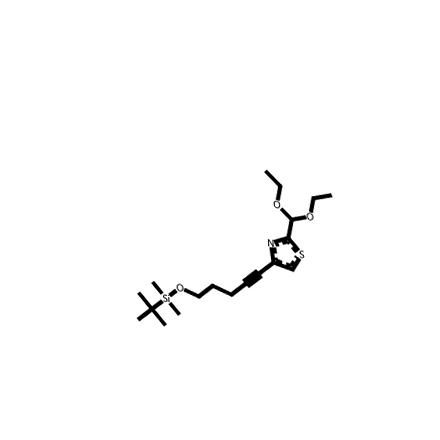 CCOC(OCC)c1nc(C#CCCCO[Si](C)(C)C(C)(C)C)cs1